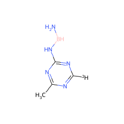 [2H]c1nc(C)nc(NBN)n1